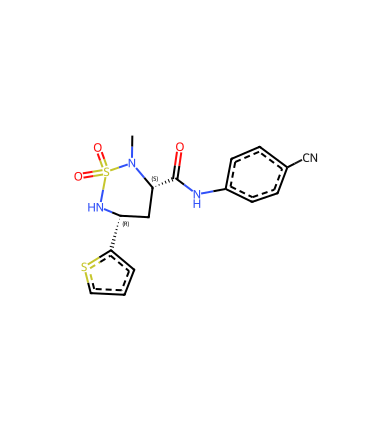 CN1[C@H](C(=O)Nc2ccc(C#N)cc2)C[C@H](c2cccs2)NS1(=O)=O